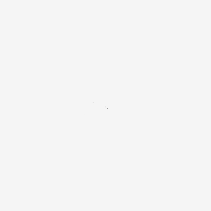 CC1(C)C(=O)CC(=O)N1c1ccccc1